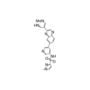 CN/C=C(\C=N)c1cnc2ccc(-c3cncc(NS(=O)(=O)c4ccn(C)n4)c3)cc2n1